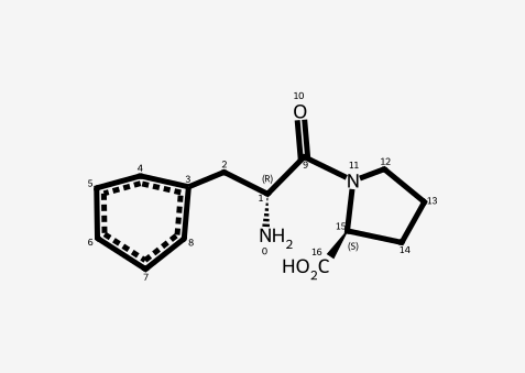 N[C@H](Cc1ccccc1)C(=O)N1CCC[C@H]1C(=O)O